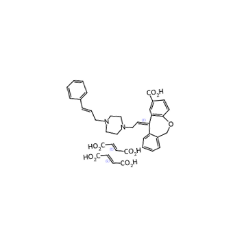 O=C(O)/C=C/C(=O)O.O=C(O)/C=C/C(=O)O.O=C(O)c1ccc2c(c1)/C(=C/CN1CCN(CC=Cc3ccccc3)CC1)c1ccccc1CO2